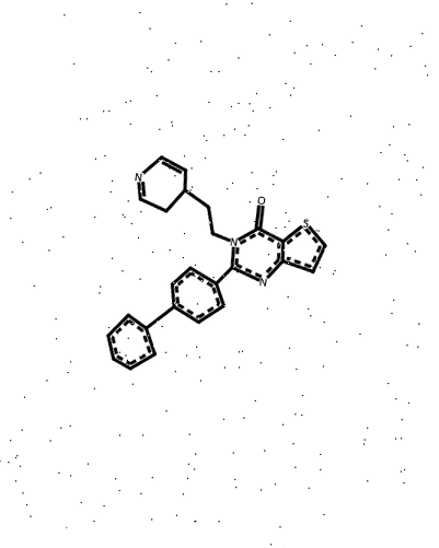 O=c1c2sccc2nc(-c2ccc(-c3ccccc3)cc2)n1CCC1C=CN=CC1